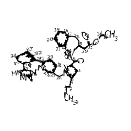 CCCc1cc(C(=O)NC(CC(=O)OCC)Cc2ccccc2Cl)nn1Cc1ccc(-c2ccccc2-c2nnn[nH]2)nc1